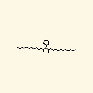 CCCCCCCCCCCC(C)N(c1ccccc1)C(C)CCCCCCCCCCC